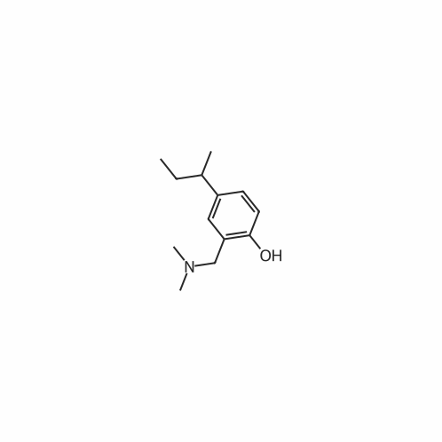 CCC(C)c1ccc(O)c(CN(C)C)c1